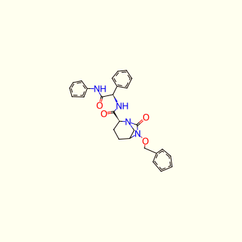 O=C(Nc1ccccc1)[C@H](NC(=O)[C@@H]1CCC2CN1C(=O)N2OCc1ccccc1)c1ccccc1